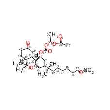 CC(OC(=O)Oc1cc(C(C)(C)CCCCCCO[N+](=O)[O-])cc2c1[C@@H]1CC(=O)CC[C@H]1C(C)(C)O2)OC(=O)C(C)C